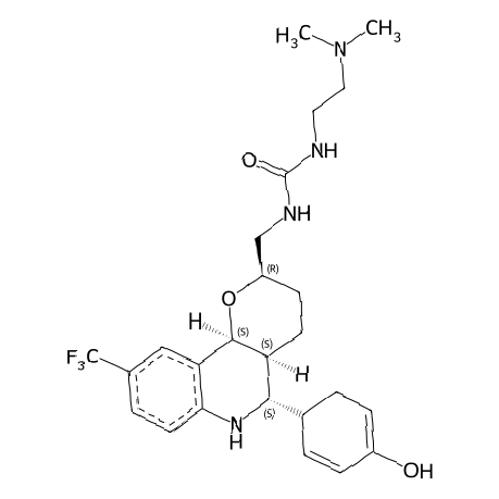 CN(C)CCNC(=O)NC[C@H]1CC[C@@H]2[C@H](O1)c1cc(C(F)(F)F)ccc1N[C@H]2C1C=CC(O)=CC1